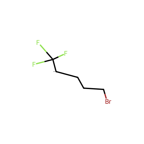 FC(F)(F)[CH]CCCBr